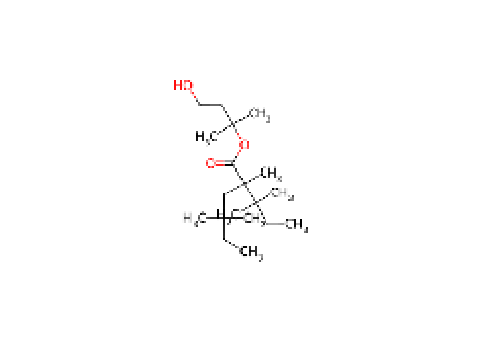 CCC(C)(C)CC(C)(C(=O)OC(C)(C)CCO)C(C)(C)CC